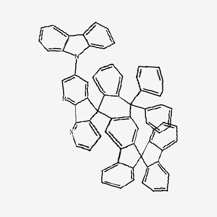 c1ccc(C2(c3ccccc3)c3ccccc3C3(c4cc5c(cc42)C2(c4ccccc4-c4ccccc42)c2ccccc2-5)c2cccnc2-c2ncc(-n4c5ccccc5c5ccccc54)cc23)cc1